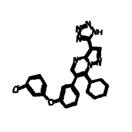 Clc1cccc(Oc2cccc(-c3cnc4c(-c5nnn[nH]5)cnn4c3C3CCCCC3)c2)c1